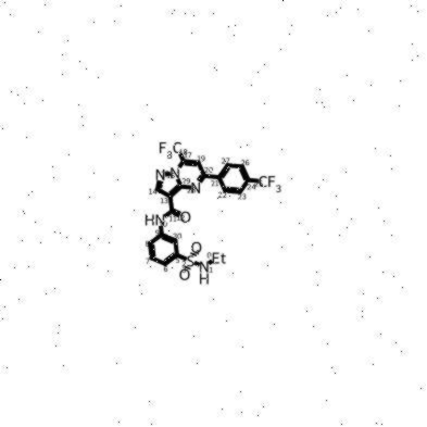 CCNS(=O)(=O)c1cccc(NC(=O)c2cnn3c(C(F)(F)F)cc(-c4ccc(C(F)(F)F)cc4)nc23)c1